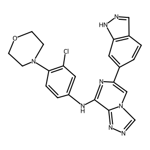 Clc1cc(Nc2nc(-c3ccc4cn[nH]c4c3)cn3cnnc23)ccc1N1CCOCC1